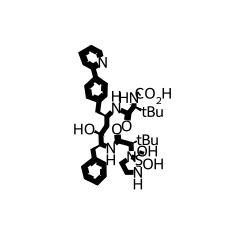 CC(C)(C)[C@H](NC(=O)O)C(=O)N[C@H](Cc1ccc(-c2ccccn2)cc1)C[C@H](O)[C@H](Cc1ccccc1)NC(=O)[C@@H](N1CCNS1(O)O)C(C)(C)C